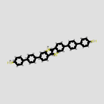 Sc1ccc(-c2ccc(-c3ccc4c(c3)sc3c5ccc(-c6ccc(-c7ccc(S)cc7)cc6)cc5sc43)cc2)cc1